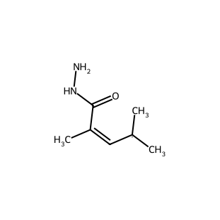 C[C](C)C=C(C)C(=O)NN